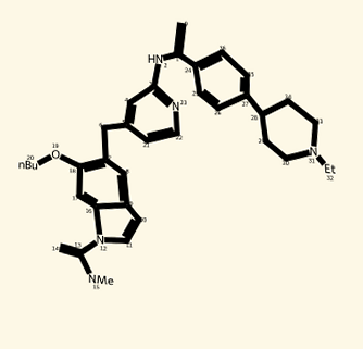 C=C(Nc1cc(Cc2cc3ccn(C(=C)NC)c3cc2OCCCC)ccn1)c1ccc(C2CCN(CC)CC2)cc1